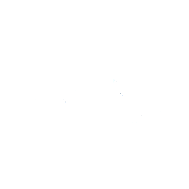 Cc1nc2cc(N=NC[SH](=O)=O)ccc2s1